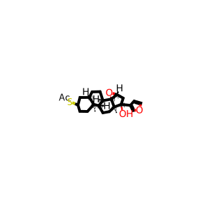 CC(=O)SC1CC[C@@]2(C)[C@H](CC[C@@H]3[C@@H]2CC[C@@]2(C)[C@@]34O[C@@H]4C[C@]2(O)c2ccoc2)C1